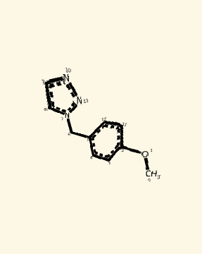 COc1ccc(Cn2c[c]nn2)cc1